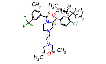 Cc1cc(C(=S)N2CCN(CCN3C[C@@H](C)O[C@@H](C)C3)C[C@@H]2C(O[SiH](C)C)c2ccc(Cl)c(C(C)(C)C)c2)cc(C(F)(F)F)c1